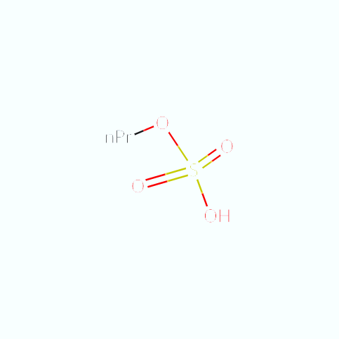 C[CH]COS(=O)(=O)O